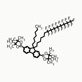 CCCCCCCC1(CCCCCCC(F)(F)C(F)(F)C(F)(F)C(F)(F)C(F)(F)C(F)(F)C(F)(F)C(F)(F)F)c2cc(B3OC(C)(C)C(C)(C)O3)ccc2-c2ccc(B3OC(C)(C)C(C)(C)O3)cc21